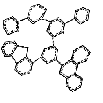 c1ccc(-c2nc(-c3cccc(-c4ccccn4)c3)cc(-c3cc(-c4ccnc5c4Cc4ccccc4-5)cc(-c4cc5ccccc5c5ccccc45)c3)n2)cc1